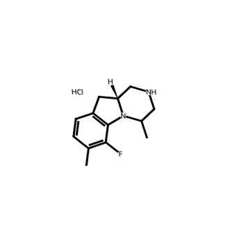 Cc1ccc2c(c1F)N1C(C)CNC[C@H]1C2.Cl